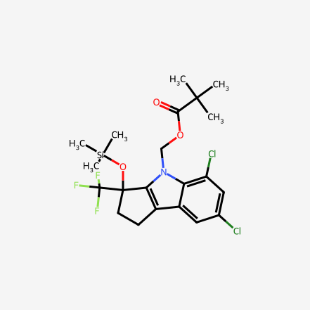 CC(C)(C)C(=O)OCn1c2c(c3cc(Cl)cc(Cl)c31)CCC2(O[Si](C)(C)C)C(F)(F)F